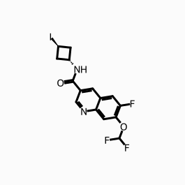 O=C(N[C@H]1C[C@H](I)C1)c1cnc2cc(OC(F)F)c(F)cc2c1